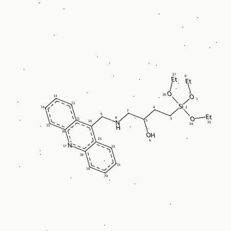 CCO[Si](CCC(O)CNCc1c2ccccc2nc2ccccc12)(OCC)OCC